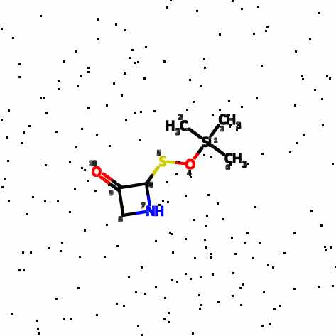 C[Si](C)(C)OSC1NCC1=O